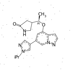 CC(C)n1cc(-c2cc(O[C@H](C)C3CNC(=O)C3)c3ccnn3c2)cn1